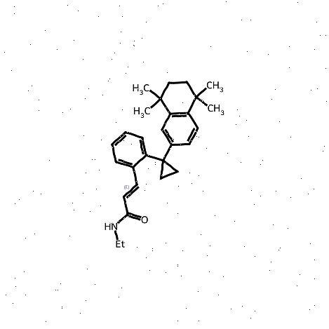 CCNC(=O)/C=C/c1ccccc1C1(c2ccc3c(c2)C(C)(C)CCC3(C)C)CC1